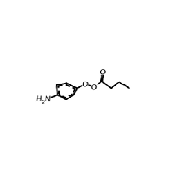 CCCC(=O)OOc1ccc(N)cc1